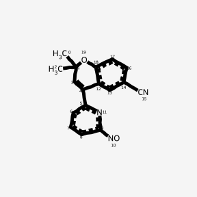 CC1(C)C=C(c2cccc(N=O)n2)c2cc(C#N)ccc2O1